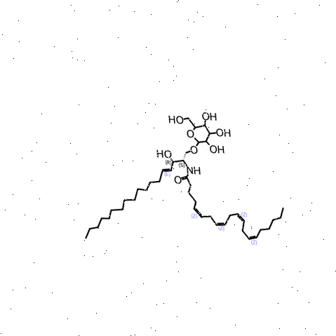 CCCCC/C=C\C/C=C\C/C=C\C/C=C\CCCC(=O)N[C@@H](COC1OC(CO)C(O)C(O)C1O)[C@H](O)/C=C/CCCCCCCCCCCCC